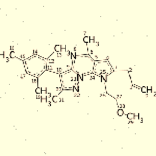 C=CCc1cc2c(C)nc3c(-c4c(C)cc(C)cc4C)c(C)nn3c2n1CCOC